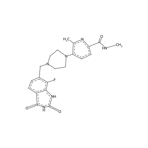 CNC(=O)c1ccc(N2CCN(Cc3ccc4c(=O)[nH]c(=O)[nH]c4c3F)CC2)c(C)n1